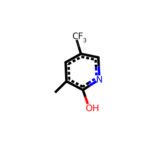 Cc1cc(C(F)(F)F)cnc1O